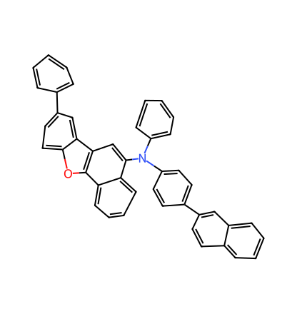 c1ccc(-c2ccc3oc4c5ccccc5c(N(c5ccccc5)c5ccc(-c6ccc7ccccc7c6)cc5)cc4c3c2)cc1